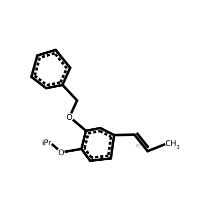 C/C=C/c1ccc(OC(C)C)c(OCc2ccccc2)c1